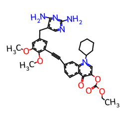 CCOC(=O)Oc1cn(C2CCCCC2)c2cc(C#Cc3cc(Cc4cnc(N)nc4N)cc(OC)c3OC)ccc2c1=O